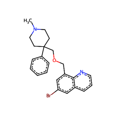 CN1CCC(COCc2cc(Br)cc3cccnc23)(c2ccccc2)CC1